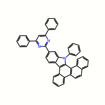 c1ccc(-c2cc(-c3ccccc3)nc(-c3ccc4c5c6ccccc6c6ccc7ccccc7c6c5n(-c5ccccc5)c4c3)n2)cc1